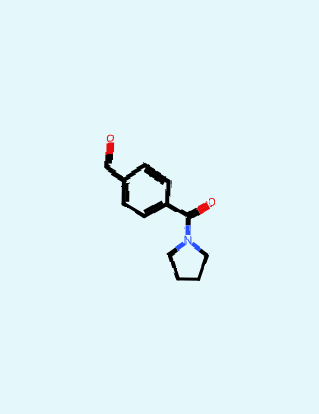 O=Cc1ccc(C(=O)N2CCCC2)cc1